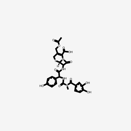 CC(=O)OCC1=C(C(=O)O)N2C(=O)C(NC(=O)C(NC(=O)N(C)C(=O)c3ccc(O)c(O)c3)c3ccc(O)cc3)[C@@H]2SC1